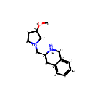 COC1CCN(C[C@@H]2Cc3ccccc3CN2)C1